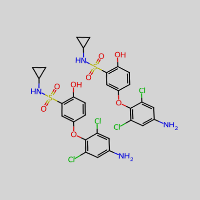 Nc1cc(Cl)c(Oc2ccc(O)c(S(=O)(=O)NC3CC3)c2)c(Cl)c1.Nc1cc(Cl)c(Oc2ccc(O)c(S(=O)(=O)NC3CC3)c2)c(Cl)c1